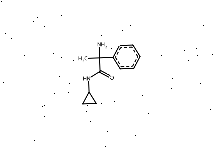 CC(N)(C(=O)NC1CC1)c1ccccc1